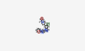 CC1(N2CCC(c3cc4c(cnn4-c4cnn(C5CCCCO5)c4)cc3Cl)CC2)COC1